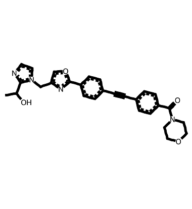 CC(O)c1nccn1Cc1coc(-c2ccc(C#Cc3ccc(C(=O)N4CCOCC4)cc3)cc2)n1